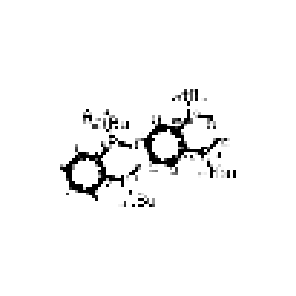 C[P@](c1ccccc1[P@@](C)C(C)(C)C)C(C)(C)C.C[P@](c1ccccc1[P@@](C)C(C)(C)C)C(C)(C)C.[Au+]